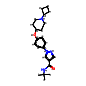 CC(C)(C)NC(=O)c1cnn(-c2ccc(OC3CCN(C4CCC4)CC3)cc2)c1